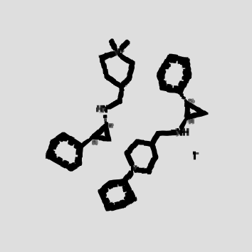 C[N+]1(C)CCC(CN[C@@H]2C[C@H]2c2ccccc2)CC1.[I-].c1ccc([C@@H]2C[C@H]2NCC2CCN(c3ccccc3)CC2)cc1